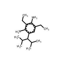 CCc1cc(C(C(C)C)C(C)C)c(N)c(CC)c1N